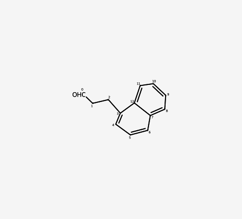 O=CCCc1cccc2ccccc12